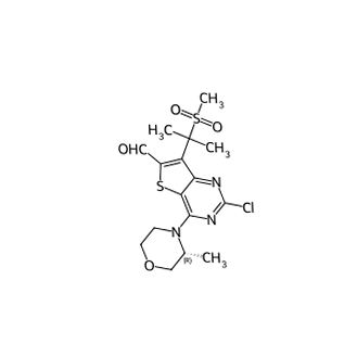 C[C@@H]1COCCN1c1nc(Cl)nc2c(C(C)(C)S(C)(=O)=O)c(C=O)sc12